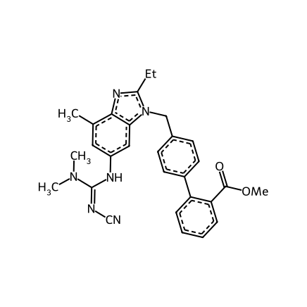 CCc1nc2c(C)cc(N/C(=N\C#N)N(C)C)cc2n1Cc1ccc(-c2ccccc2C(=O)OC)cc1